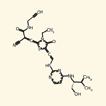 C#CCNC(=O)C(=C=c1sc(=C=CNc2nccc(N[C@@H](CO)C(C)C)n2)c(=O)n1CC)C#N